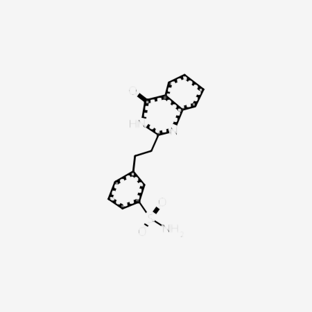 NS(=O)(=O)c1cccc(CCc2nc3ccccc3c(=O)[nH]2)c1